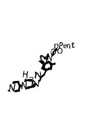 CCCCCC(=O)OCn1ncc2cc(CC(N)CN3CCN(C4CCN(C)CC4)CC3)cc(C)c21